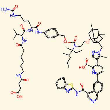 CCCC(C)C(C)(CC)N(CCOC12CC3(C)CC(C)(CC(Cn4ncc(-c5ccc(-c6ccc7cncc(C(=O)Nc8nc9ccccc9s8)c7c6)nc5C(=O)O)c4C)(C3)C1)C2)C(=O)OCc1ccc(NC(=O)[C@H](CCCNC(N)=O)NC(=O)[C@@H](NC(=O)CCCCCNC(=O)CCC(=O)O)C(C)C)cc1